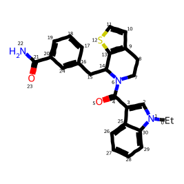 CCn1cc(C(=O)N2CCc3ccsc3C2Cc2cccc(C(N)=O)c2)c2ccccc21